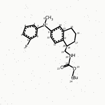 CN(c1cccc(F)c1)c1ccc2c(c1)CCC[C@H]2CNC(=O)OC(C)(C)C